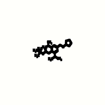 CC(C)c1cc(COC2CCCC2)cc(C(C)C)c1CC(=O)OC(C)(C)C